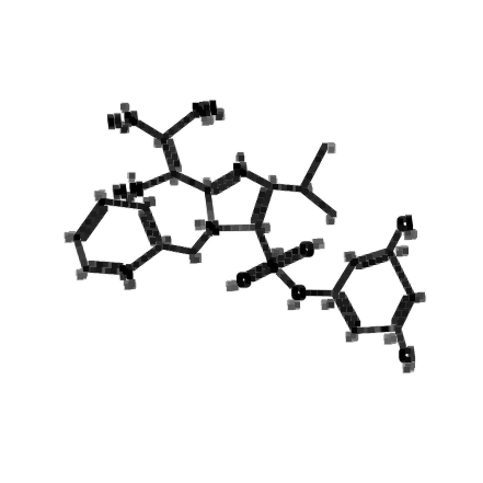 CC(C)c1nc(C(N)=C(N)N)n(Cc2ccccn2)c1S(=O)(=O)Oc1cc(Cl)cc(Cl)c1